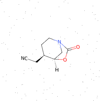 N#CC[C@H]1CCN2C[C@H]1OC2=O